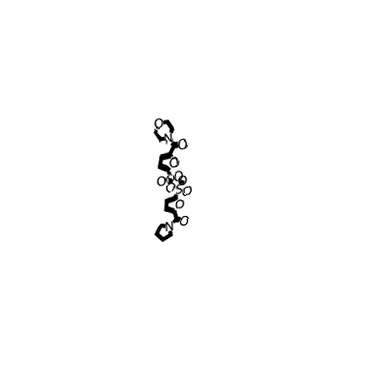 O=C(c1ccc(S(=O)(=O)OS(=O)(=O)c2ccc(C(=O)N3CCOCC3)o2)o1)N1CCCC1